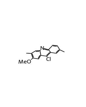 COc1cc2c(Cl)c3cc(C)ccc3nc2cc1C